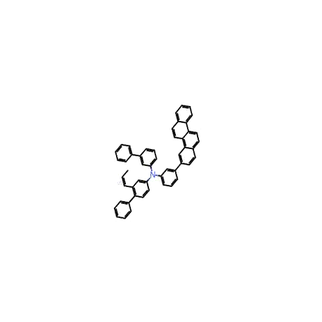 C/C=C\c1cc(N(c2cccc(-c3ccccc3)c2)c2cccc(-c3ccc4ccc5c6ccccc6ccc5c4c3)c2)ccc1-c1ccccc1